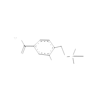 COC(=O)c1ccc(CO[Si](C)(C)C(C)(C)C)c(F)c1